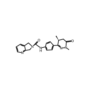 C[C@H]1CC(=O)N(C)N=C1c1ccc(NC(=O)N2Cc3cccnc3C2)cc1